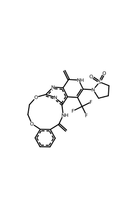 C=C1Nc2nc(nc3c2C(C(F)(F)F)=C(N2CCCS2(=O)=O)NC3=C)OCCOc2ccccc21